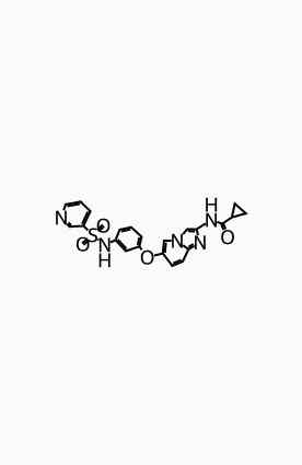 O=C(Nc1cn2cc(Oc3cccc(NS(=O)(=O)c4cccnc4)c3)ccc2n1)C1CC1